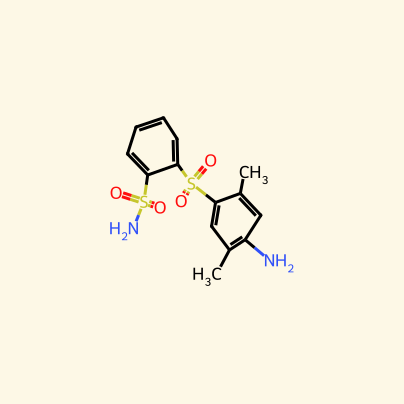 Cc1cc(S(=O)(=O)c2ccccc2S(N)(=O)=O)c(C)cc1N